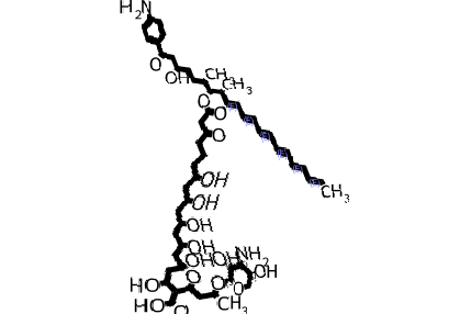 C/C=C/C=C/C=C/C=C/C=C/C=C/C(C)C(OC(=O)CC(=O)CCCC(O)CC(O)CC(O)CC(O)CC1(O)CC(O)C(C(=O)O)C(CC(C)O[C@@H]2OC[C@@H](O)[C@H](N)[C@@H]2O)O1)C(C)CCC(O)CC(=O)c1ccc(N)cc1